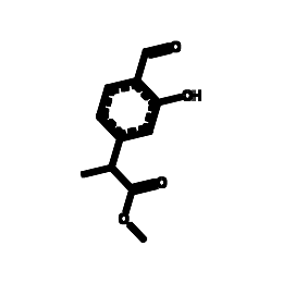 COC(=O)C(C)c1ccc(C=O)c(O)c1